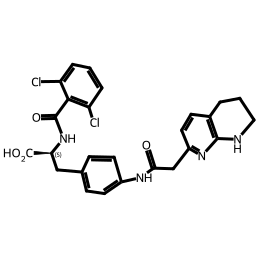 O=C(Cc1ccc2c(n1)NCCC2)Nc1ccc(C[C@H](NC(=O)c2c(Cl)cccc2Cl)C(=O)O)cc1